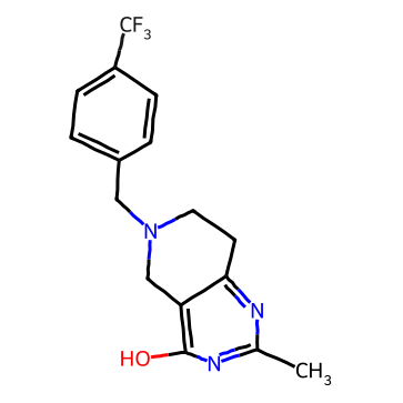 Cc1nc(O)c2c(n1)CCN(Cc1ccc(C(F)(F)F)cc1)C2